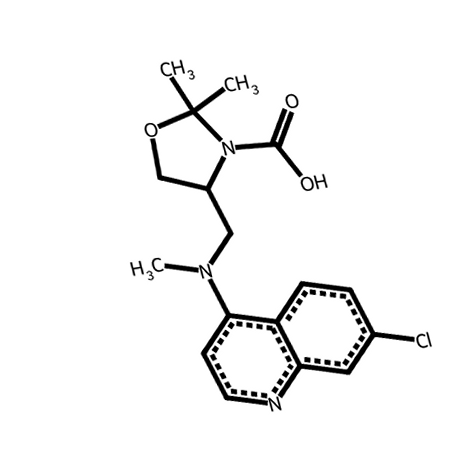 CN(CC1COC(C)(C)N1C(=O)O)c1ccnc2cc(Cl)ccc12